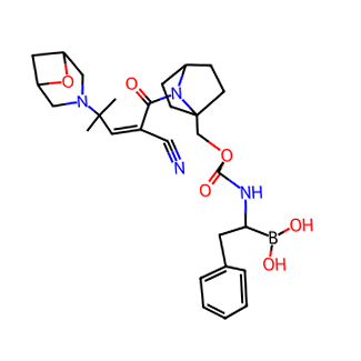 CC(C)(C=C(C#N)C(=O)N1C2CCC1(COC(=O)NC(Cc1ccccc1)B(O)O)CC2)N1CC2CC(C1)O2